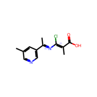 C/C(C(=O)O)=C(Cl)\N=C(/C)c1cncc(C)c1